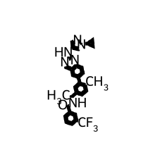 Cc1ccc([C@H](C)NC(=O)c2cccc(C(F)(F)F)c2)cc1-c1ccc2nc(Nc3cnn(C4CC4)c3)ncc2c1